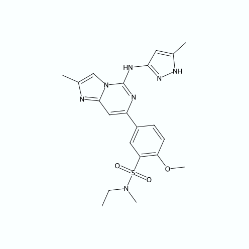 CCN(C)S(=O)(=O)c1cc(-c2cc3nc(C)cn3c(Nc3cc(C)[nH]n3)n2)ccc1OC